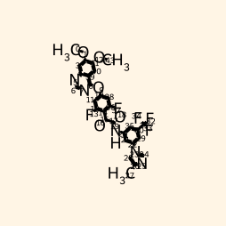 COc1cc2ncnc(Oc3cc(F)c(C(=O)C(=O)Nc4cc(-n5cnc(C)c5)cc(C(F)(F)F)c4)c(F)c3)c2cc1OC